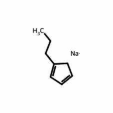 CCCC1=CC=CC1.[Na]